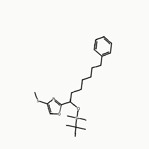 CSc1coc(C(CCCCCCc2ccccc2)O[Si](C)(C)C(C)(C)C)n1